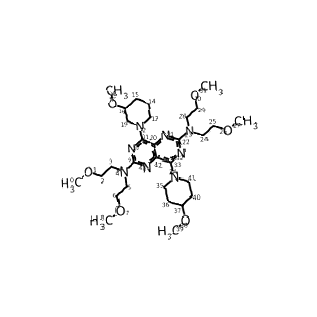 COCCN(CCOC)c1nc(N2CCCC(OC)C2)c2nc(N(CCOC)CCOC)nc(N3CCC(OC)CC3)c2n1